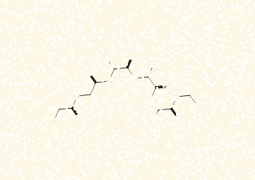 CC[C@H](C)[C@H](NC(=O)[C@@H](NC(=O)[C@@H](NC(=O)CNC(=O)CN)C(C)C)C(C)C)C(=O)N[C@@H](C)C(=O)O